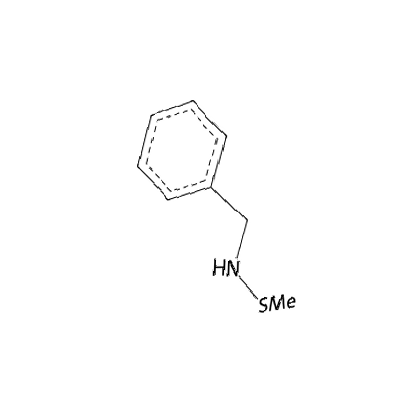 CSNCc1ccccc1